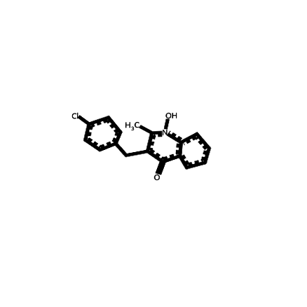 Cc1c(Cc2ccc(Cl)cc2)c(=O)c2ccccc2n1O